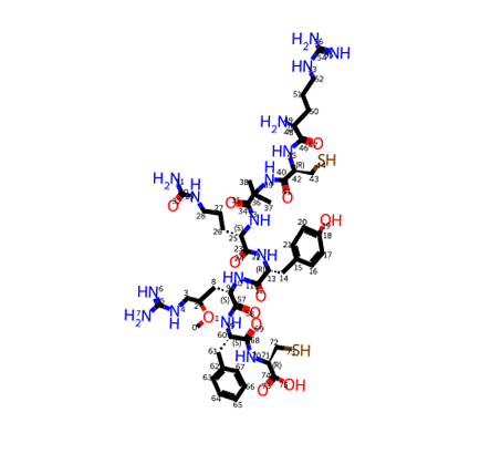 COC(CNC(=N)N)C[C@H](NC(=O)[C@@H](Cc1ccc(O)cc1)NC(=O)[C@H](CCCNC(N)=O)NC(=O)C(C)(C)NC(=O)[C@H](CS)NC(=O)[C@@H](N)CCCNC(=N)N)C(=O)N[C@@H](Cc1ccccc1)C(=O)N[C@@H](CS)C(=O)O